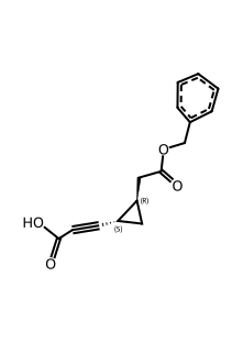 O=C(O)C#C[C@H]1C[C@@H]1CC(=O)OCc1ccccc1